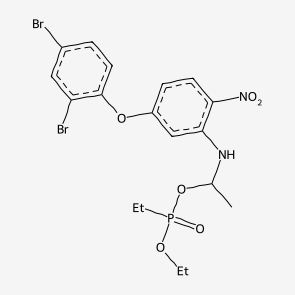 CCOP(=O)(CC)OC(C)Nc1cc(Oc2ccc(Br)cc2Br)ccc1[N+](=O)[O-]